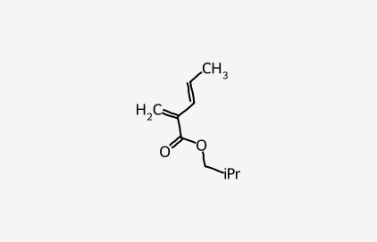 C=C(C=CC)C(=O)OCC(C)C